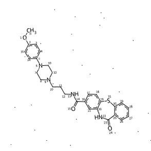 COc1ccc(N2CCN(CCCNC(=O)c3ccc4c(c3)NC(=O)c3ccccc3S4)CC2)cc1